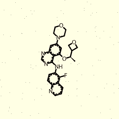 C[C@@H](Oc1cc(N2CCOCC2)cc2ncnc(Nc3ccc4ncccc4c3F)c12)C1COC1